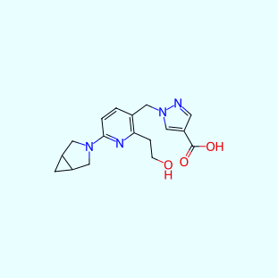 O=C(O)c1cnn(Cc2ccc(N3CC4CC4C3)nc2CCO)c1